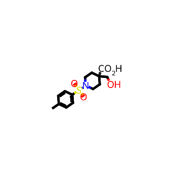 Cc1ccc(S(=O)(=O)N2CCC(CO)(C(=O)O)CC2)cc1